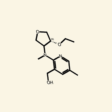 CCO[C@H]1COCC1N(C)c1ncc(C)cc1CO